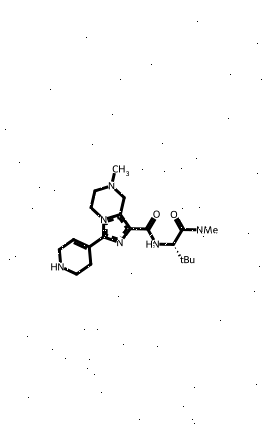 CNC(=O)[C@@H](NC(=O)c1nc(C2=CCNCC2)n2c1CN(C)CC2)C(C)(C)C